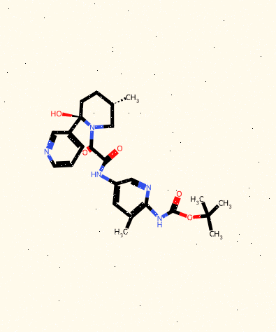 Cc1cc(NC(=O)C(=O)N2C[C@@H](C)CC[C@@]2(O)c2cccnc2)cnc1NC(=O)OC(C)(C)C